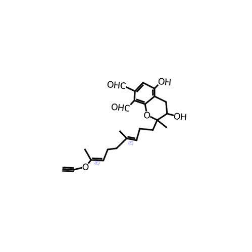 C#CO/C(C)=C/CC/C(C)=C/CCC1(C)Oc2c(C=O)c(C=O)cc(O)c2CC1O